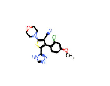 COc1ccc(-c2c(-c3nnc[nH]3)sc(N3CCOCC3)c2C#N)c(Cl)c1